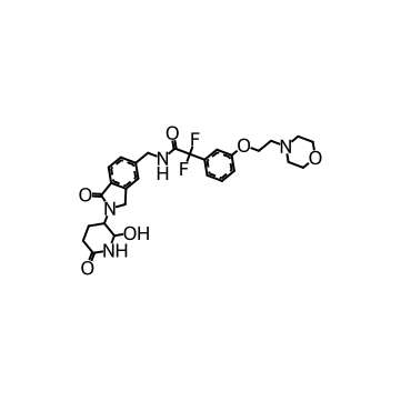 O=C1CCC(N2Cc3cc(CNC(=O)C(F)(F)c4cccc(OCCN5CCOCC5)c4)ccc3C2=O)C(O)N1